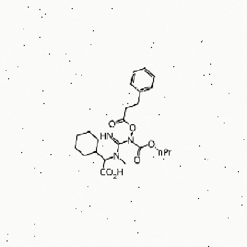 CCCOC(=O)N(OC(=O)CCc1ccccc1)C(=N)N(C)C(C(=O)O)C1CCCCC1